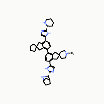 CN1CCC2(CC1)Cc1c(-c3cnc([C@H]4NC5CCC4C5)[nH]3)ccc(-c3ccc(-c4cnc([C@@H]5CCCCN5)[nH]4)c4c3CC3(CCCC3)C4)c1C2